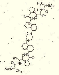 CNC(C)C(=O)NC(C(=O)N1CCCC1C(=O)NC1CCCc2c1cccc2N1CCN(c2cccc3c2CCC[C@H]3NC(=O)C2CCCN2C(=O)C(NC(=O)C(C)NC)C(C)C)CC1)C(C)C